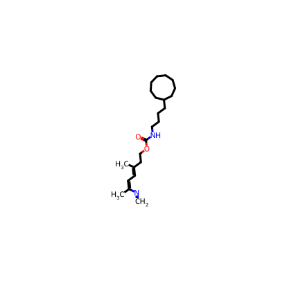 C=N/C(C)=C\C=C(/C)CCOC(=O)NCCCCC1CCCCCCCC1